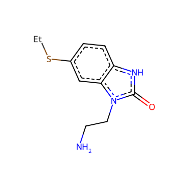 CCSc1ccc2[nH]c(=O)n(CCN)c2c1